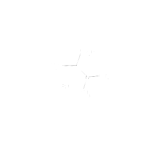 CC(C(=O)O)N(C)C.P